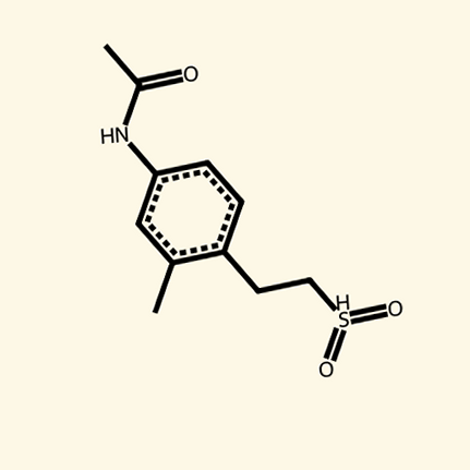 CC(=O)Nc1ccc(CC[SH](=O)=O)c(C)c1